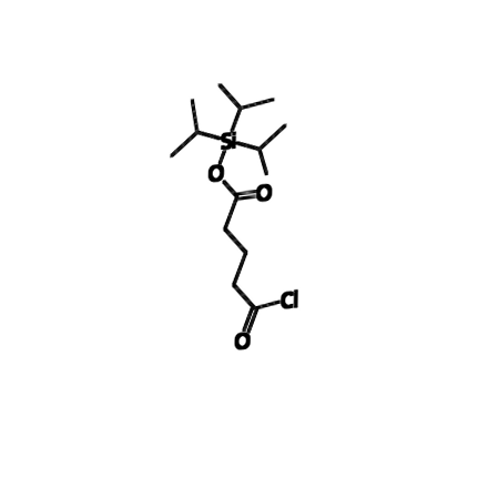 CC(C)[Si](OC(=O)CCCC(=O)Cl)(C(C)C)C(C)C